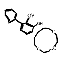 C1CCCCCCCCCCC1.Oc1cccc(-c2ccccc2)c1O